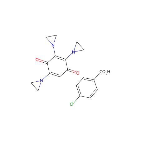 O=C(O)c1ccc(Cl)cc1.O=C1C=C(N2CC2)C(=O)C(N2CC2)=C1N1CC1